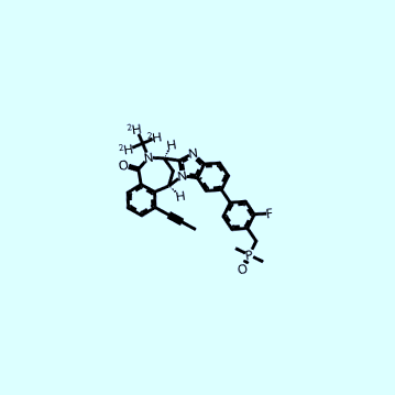 [2H]C([2H])([2H])N1C(=O)c2cccc(C#CC)c2[C@H]2C[C@@H]1c1nc3ccc(-c4ccc(CP(C)(C)=O)c(F)c4)cc3n12